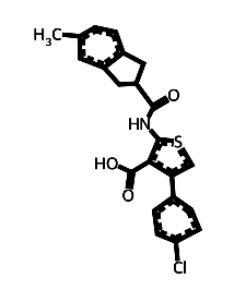 Cc1ccc2c(c1)CC(C(=O)Nc1scc(-c3ccc(Cl)cc3)c1C(=O)O)C2